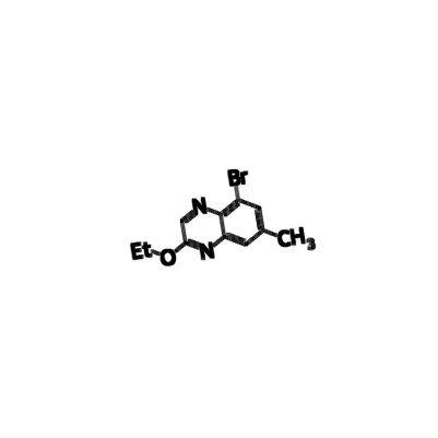 CCOc1cnc2c(Br)cc(C)cc2n1